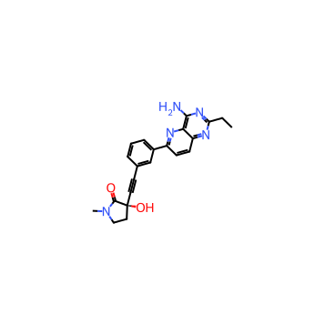 CCc1nc(N)c2nc(-c3cccc(C#C[C@]4(O)CCN(C)C4=O)c3)ccc2n1